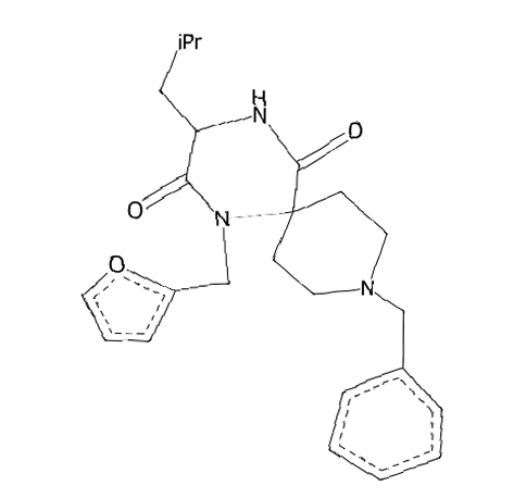 CC(C)CC1NC(=O)C2(CCN(Cc3ccccc3)CC2)N(Cc2ccco2)C1=O